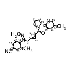 C=NN(CC12CC(C(=O)N3N=CCC3c3ccc(C)cn3)(C1)C2)c1ccc(C#N)cc1C